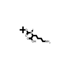 CC(C)(C)OC(=O)N(I)C(CCCCN)C(=O)O